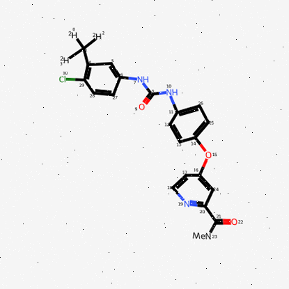 [2H]C([2H])([2H])c1cc(NC(=O)Nc2ccc(Oc3ccnc(C(=O)NC)c3)cc2)ccc1Cl